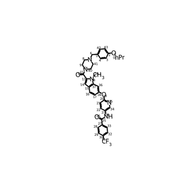 CCCOc1ccc(CN2CCN(C(=O)c3cc4ccc(Oc5ccc(NC(=O)c6ccc(C(F)(F)F)cc6)cn5)cc4n3C)CC2)cc1